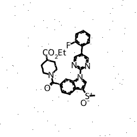 CCOC(=O)C1CCN(C(=O)c2ccc3c([S+](C)[O-])cn(-c4ncc(-c5ccccc5F)cn4)c3c2)CC1